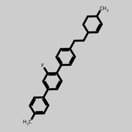 Cc1ccc(-c2ccc(-c3ccc(CCC4C=CC(C)CC4)cc3)c(F)c2)cc1